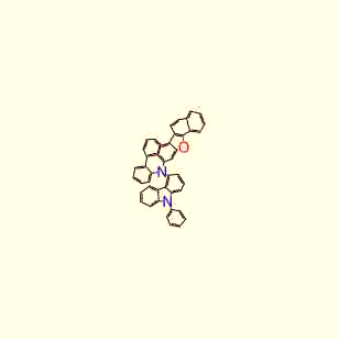 c1ccc(-c2ccccc2N(c2ccc3c(c2)oc2c4ccccc4ccc32)c2cccc3c2c2ccccc2n3-c2ccccc2)cc1